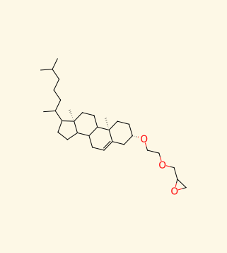 CC(C)CCCC(C)C1CCC2C3CC=C4C[C@@H](OCCOCC5CO5)CC[C@]4(C)C3CC[C@]12C